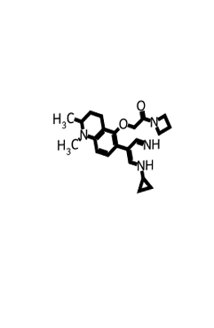 CC1CCc2c(ccc(/C(C=N)=C/NC3CC3)c2OCC(=O)N2CCC2)N1C